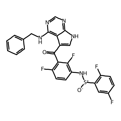 O=C(c1c(F)ccc(N[S+]([O-])c2cc(F)ccc2F)c1F)c1c[nH]c2ncnc(NCc3ccccc3)c12